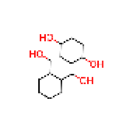 OC1CCC(O)CC1.OCC1CCCCC1CO